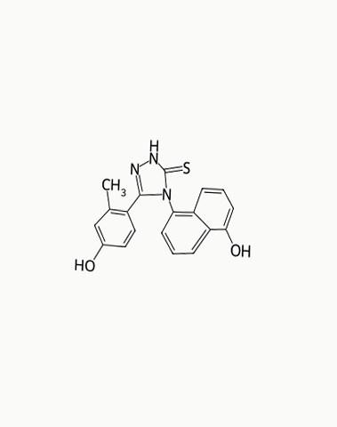 Cc1cc(O)ccc1-c1n[nH]c(=S)n1-c1cccc2c(O)cccc12